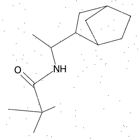 CC(NC(=O)C(C)(C)C)C1CC2CCC1C2